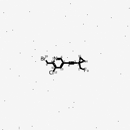 FCC1(C#Cc2cnc(CBr)c(Cl)c2)CC1